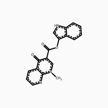 Cn1cc(C(=O)Oc2c[nH]c3ccccc23)c(=O)c2cccnc21